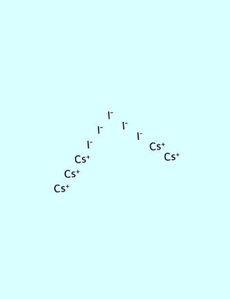 [Cs+].[Cs+].[Cs+].[Cs+].[Cs+].[I-].[I-].[I-].[I-].[I-]